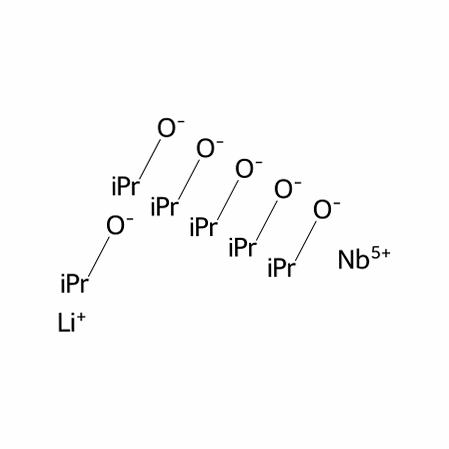 CC(C)[O-].CC(C)[O-].CC(C)[O-].CC(C)[O-].CC(C)[O-].CC(C)[O-].[Li+].[Nb+5]